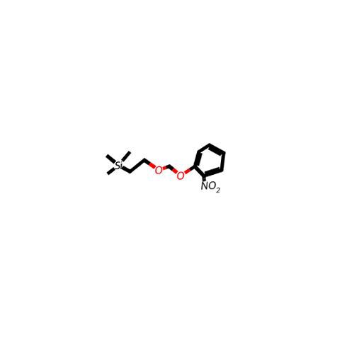 C[Si](C)(C)CCOCOc1ccccc1[N+](=O)[O-]